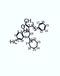 [CH]c1ccc(C2OC(C)=C(CSc3ccccc3)N2CCN2CCCCCC2)cc1